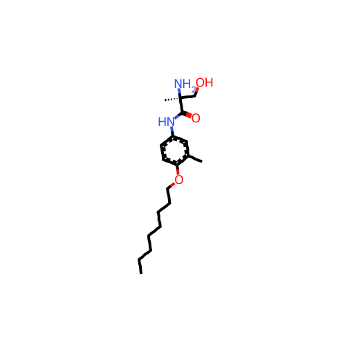 CCCCCCCCOc1ccc(NC(=O)[C@@](C)(N)CO)cc1C